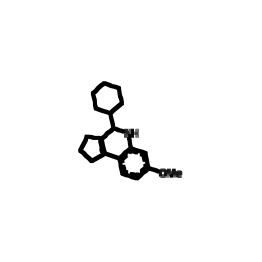 COc1ccc2c(c1)NC(C1CCCCC1)C1=C2CCC1